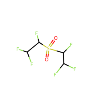 O=S(=O)(C(F)C(F)F)C(F)C(F)F